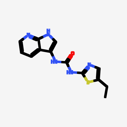 CCc1cnc(NC(=O)Nc2c[nH]c3ncccc23)s1